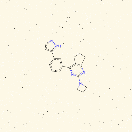 c1cc(-c2ccn[nH]2)cc(-c2nc(N3CCC3)nc3c2CCC3)c1